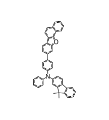 CC1(C)c2ccccc2-c2ccc(N(c3ccccc3)c3ccc(-c4ccc5c(c4)oc4c6ccccc6ccc54)cc3)cc21